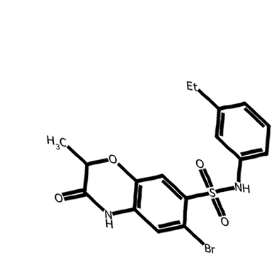 CCc1cccc(NS(=O)(=O)c2cc3c(cc2Br)NC(=O)C(C)O3)c1